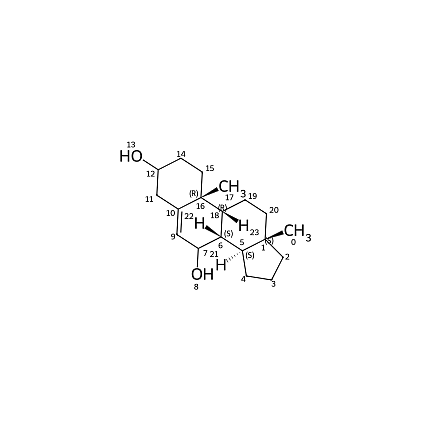 C[C@@]12CCC[C@H]1[C@@H]1C(O)C=C3CC(O)CC[C@]3(C)[C@@H]1CC2